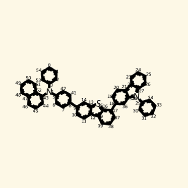 c1ccc(N(c2ccc(-c3ccc4c(c3)sc3c(-c5ccc6c7ccccc7n(-c7ccccc7)c6c5)cccc34)cc2)c2cccc3ccccc23)cc1